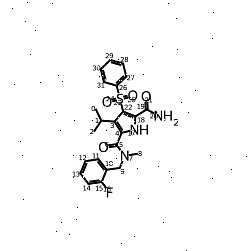 CC(C)c1c(C(=O)N(C)Cc2ccccc2F)[nH]c(C(N)=O)c1S(=O)(=O)c1ccccc1